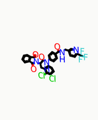 O=C(NCc1ccc(C(F)(F)F)nc1)c1ccc(NC(=O)C(Cc2cccc(Cl)c2Cl)N2C(=O)c3ccccc3C2=O)cc1